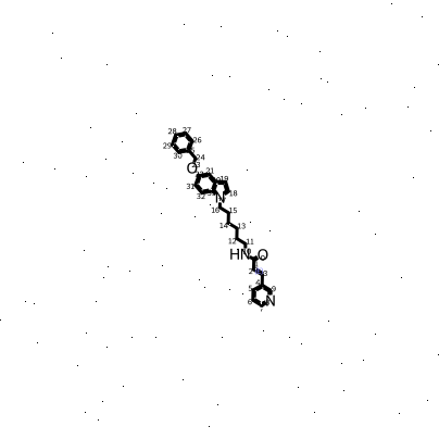 O=C(/C=C/c1cccnc1)NCCCCCCn1ccc2cc(OCc3ccccc3)ccc21